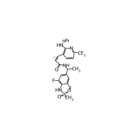 CCCNc1nc(C(F)(F)F)ccc1/C=C\C(=O)NC(C)c1cc(F)c(NS(C)(=O)=O)c(F)c1